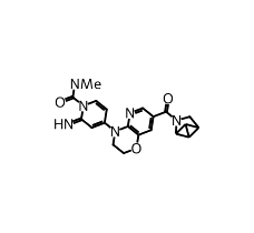 CNC(=O)n1ccc(N2CCOc3cc(C(=O)N4CC5C6C5C64)cnc32)cc1=N